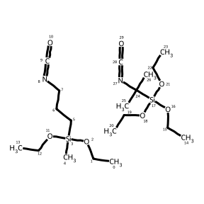 CCO[Si](C)(CCCN=C=O)OCC.CCO[Si](OCC)(OCC)C(C)(C)N=C=O